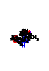 Cc1c(I)c(=O)n([C@@H]2CCC[C@@]2(C)O)c2nc(N[C@@H]3CCN(S(=O)(=O)C4CC4)C[C@H]3F)ncc12